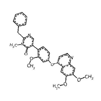 COc1cc2nccc(Oc3ccc(-c4cnc(Cc5ccccc5)n(C)c4=O)c(OC)c3)c2cc1OC